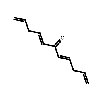 C=CCC=CC(=O)C=CCC=C